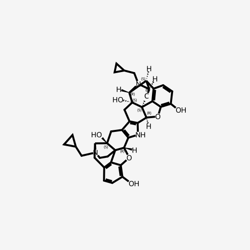 Oc1ccc2c3c1O[C@H]1c4[nH]c5c(c4C[C@@]4(O)C(C2)N(CC2CC2)CCC314)C[C@@]1(O)[C@H]2[C@H]3c4ccc(O)c6c4[C@@]1(C[C@H]3N2CC1CC1)[C@H]5O6